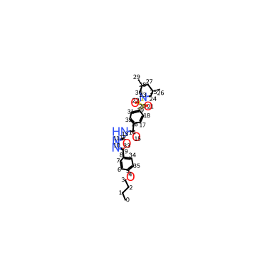 CCCCOc1ccc(-c2nnc(NC(=O)c3ccc(S(=O)(=O)N4C[C@H](C)C[C@H](C)C4)cc3)o2)cc1